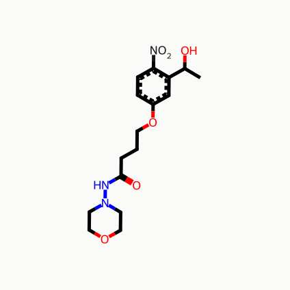 CC(O)c1cc(OCCCC(=O)NN2CCOCC2)ccc1[N+](=O)[O-]